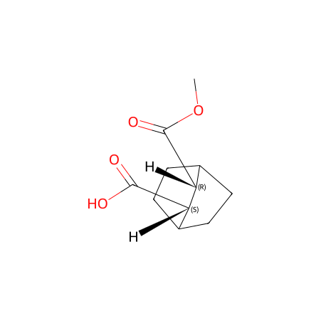 COC(=O)[C@@H]1C2CCC(CC2)[C@@H]1C(=O)O